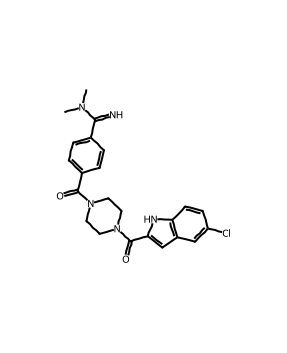 CN(C)C(=N)c1ccc(C(=O)N2CCN(C(=O)c3cc4cc(Cl)ccc4[nH]3)CC2)cc1